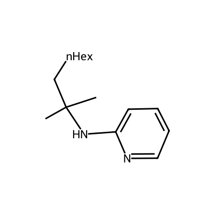 CCCCCCCC(C)(C)Nc1ccccn1